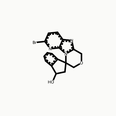 OC1CC2(COCc3nc4ccc(Br)nc4n32)c2ccccc21